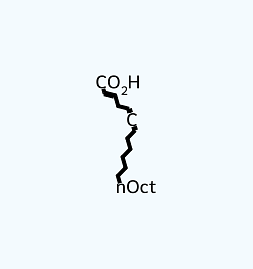 CCCCCCCCCCCCCC=C=CCC=CC(=O)O